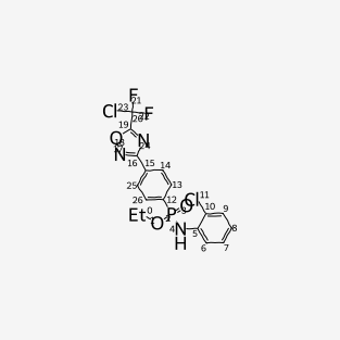 CCOP(=O)(Nc1ccccc1Cl)c1ccc(-c2noc(C(F)(F)Cl)n2)cc1